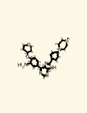 CN1CCN(c2ccc(-c3nc4c(-c5ccc(OC6CCOCC6)c(N)c5)ncnc4[nH]3)cc2)CC1